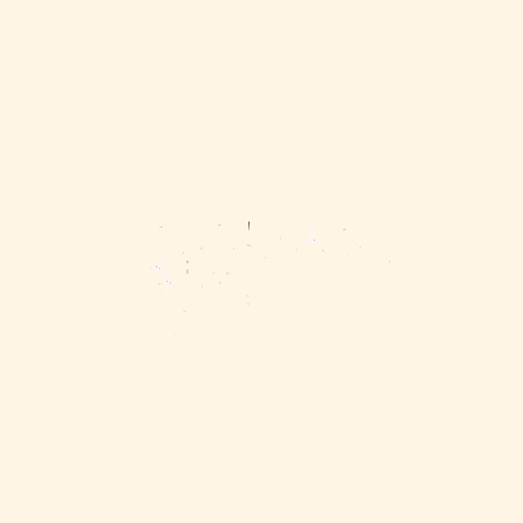 C=CC[C@@H](OCCNC(=O)OC(C)(C)C)C(C)(CB(O)O)c1ccc2c(c1)c(F)nn2C1CCCCO1